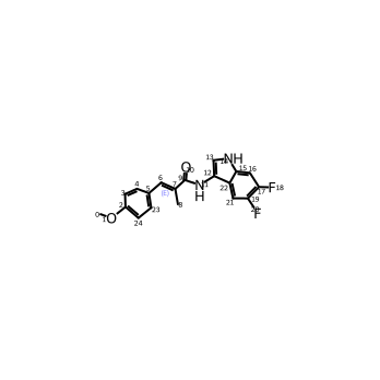 COc1ccc(/C=C(\C)C(=O)Nc2c[nH]c3cc(F)c(F)cc23)cc1